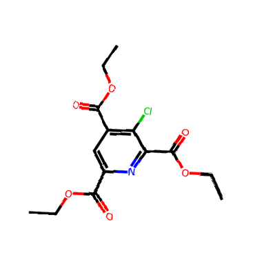 CCOC(=O)c1cc(C(=O)OCC)c(Cl)c(C(=O)OCC)n1